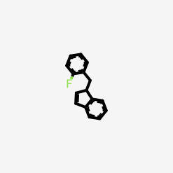 Fc1ccccc1CC1C=Cc2ccccc21